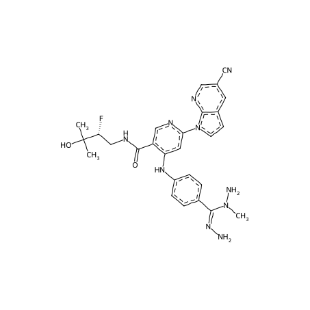 CN(N)/C(=N\N)c1ccc(Nc2cc(-n3ccc4cc(C#N)cnc43)ncc2C(=O)NC[C@@H](F)C(C)(C)O)cc1